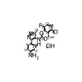 C[C@@H](OC(=O)Nc1c(-c2ccc(N)cn2)nnn1C)c1cc(F)cnc1Cl.Cl